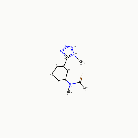 CCCCN(C(=S)CCC)C1CCCC(c2nnnn2C)C1